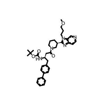 COCCCn1c([C@@H]2CCCN(C(=O)C[C@@H](Cc3ccc(-c4ccccc4)cc3)NC(=O)OC(C)(C)C)C2)nc2ccncc21